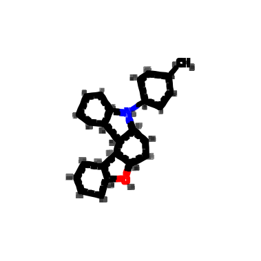 Cc1ccc(-n2c3ccccc3c3c4c(ccc32)oc2ccccc24)cc1